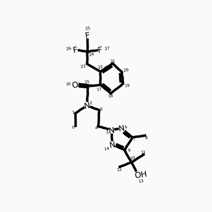 CCN(CCn1nc(C)c(C(C)(C)O)n1)C(=O)c1ccccc1CC(F)(F)F